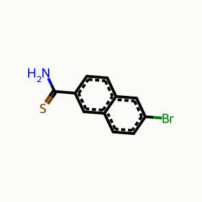 NC(=S)c1ccc2cc(Br)ccc2c1